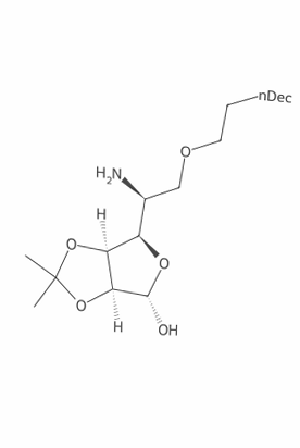 CCCCCCCCCCCCOC[C@H](N)[C@H]1O[C@H](O)[C@H]2OC(C)(C)O[C@@H]12